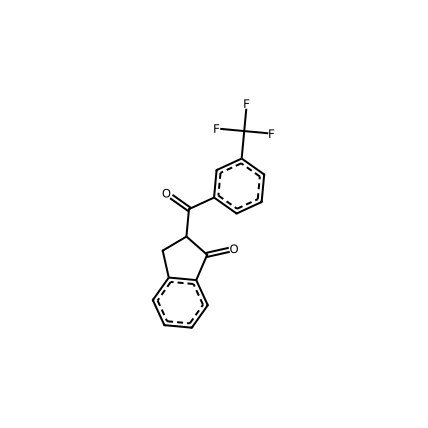 O=C(c1cccc(C(F)(F)F)c1)C1Cc2ccccc2C1=O